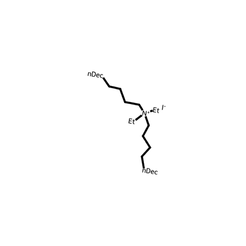 CCCCCCCCCCCCCC[N+](CC)(CC)CCCCCCCCCCCCCC.[I-]